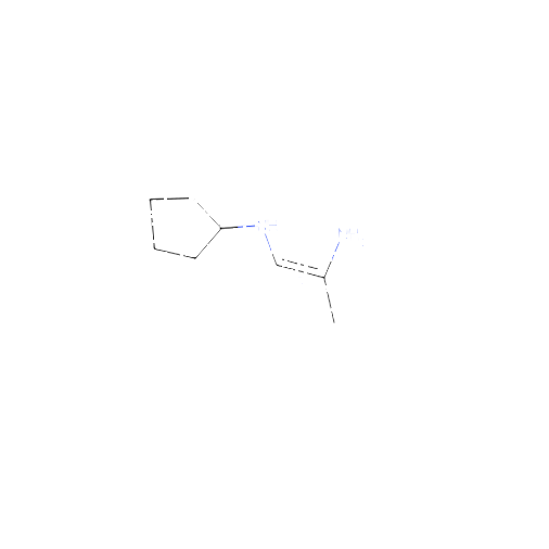 C/C(N)=C/NC1CCCC1